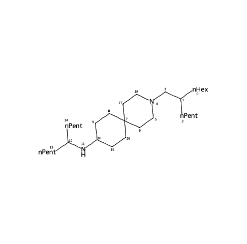 CCCCCCC(CCCCC)CN1CCC2(CCC(NC(CCCCC)CCCCC)CC2)CC1